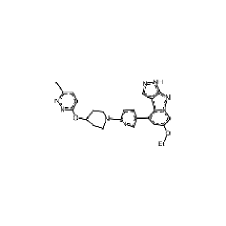 CCOc1cc(-c2ccc(N3CCC(Oc4ccc(C)nn4)CC3)nc2)c2c3cn[nH]c3nn2c1